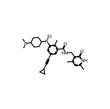 CCN(c1cc(C#CC2CC2)cc(C(=O)NCc2c(C)cc(C)[nH]c2=O)c1C)C1CCC(N(C)C)CC1